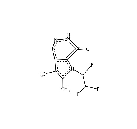 Cc1c(C)n(C(F)C(F)F)c2c(=O)[nH]ncc12